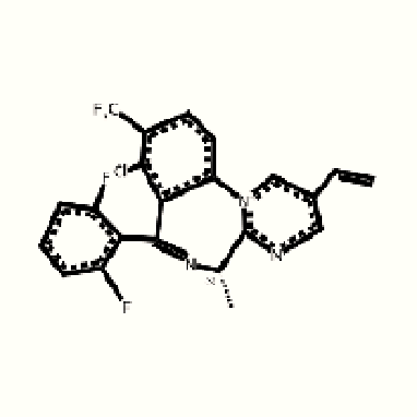 C=Cc1cnc2[n+](c1)-c1ccc(C(F)(F)F)c(Cl)c1C(c1c(F)cccc1F)=N[C@H]2C